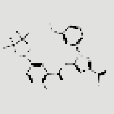 BOc1cccc(-n2nc(C(N)=O)cc2NC(=O)c2cc(B3OC(C)(C)C(C)(C)O3)ccc2Cl)c1